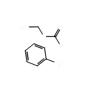 CCOC(N)=O.Oc1ccccc1